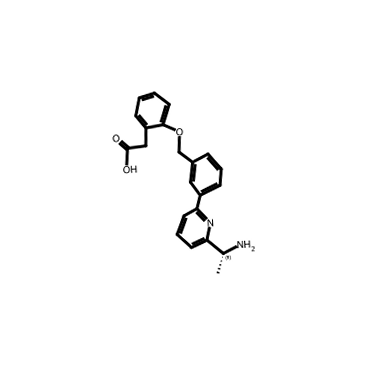 C[C@@H](N)c1cccc(-c2cccc(COc3ccccc3CC(=O)O)c2)n1